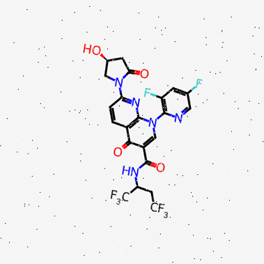 O=C(NC(CC(F)(F)F)C(F)(F)F)c1cn(-c2ncc(F)cc2F)c2nc(N3C[C@@H](O)CC3=O)ccc2c1=O